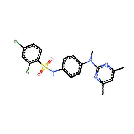 Cc1cc(C)nc(N(C)c2ccc(NS(=O)(=O)c3ccc(Cl)cc3Cl)cc2)n1